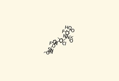 CCOc1nnc(COc2nc(-c3cc(Cl)c(Cc4nc5c(F)cc(C(=O)O)cc5n4C4COCC4(C)C)cc3C)ccc2F)s1